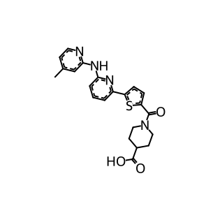 Cc1ccnc(Nc2cccc(-c3ccc(C(=O)N4CCC(C(=O)O)CC4)s3)n2)c1